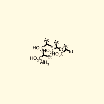 CCC(C(C)=O)C(=O)O.CCC(C(C)=O)C(=O)O.CCC(C(C)=O)C(=O)O.CCC(C(C)=O)C(=O)O.[AlH3]